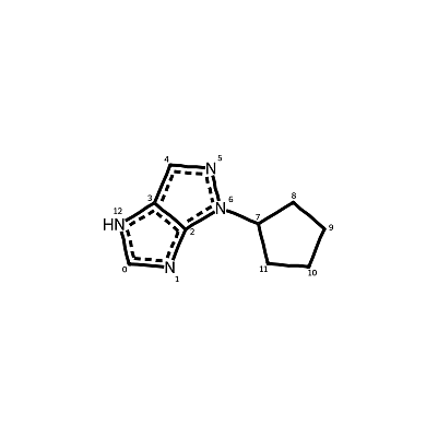 c1nc2c(cnn2C2CCCC2)[nH]1